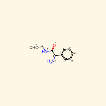 NC(C(=O)NCC=O)c1ccccc1